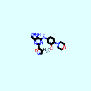 COc1cc(Nc2nc(-c3ccno3)nc3cn[nH]c23)ccc1N1CCOCC1